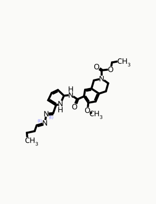 CCC/C=N/N=C/C1=CC=CC(NC(=O)c2cc3c(cc2OC)CCN(C(=O)OCC)C3)N1